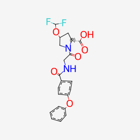 O=C(NCC(=O)N1CC(OC(F)F)C[C@@H]1C(=O)O)c1ccc(Oc2ccccc2)cc1